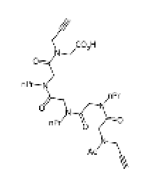 C#CCN(CC(=O)N(CCC)CC(=O)N(CCC)CC(=O)N(CCC)CC(=O)N(CC#C)CC(=O)O)C(C)=O